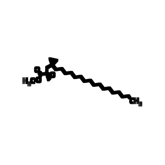 CCCCCCCCCCCCCCCCCC1(CC2(C(=O)OC)CO2)CC1